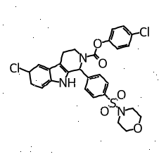 O=C(Oc1ccc(Cl)cc1)N1CCc2c([nH]c3c2=CC(Cl)CC=3)C1c1ccc(S(=O)(=O)N2CCOCC2)cc1